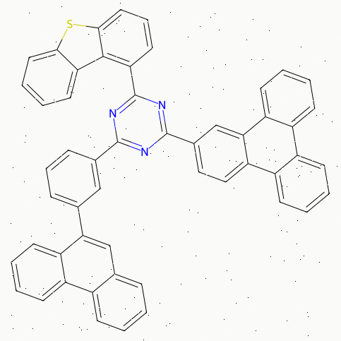 c1cc(-c2nc(-c3ccc4c5ccccc5c5ccccc5c4c3)nc(-c3cccc4sc5ccccc5c34)n2)cc(-c2cc3ccccc3c3ccccc23)c1